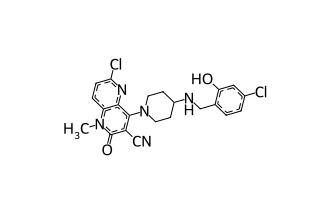 Cn1c(=O)c(C#N)c(N2CCC(NCc3ccc(Cl)cc3O)CC2)c2nc(Cl)ccc21